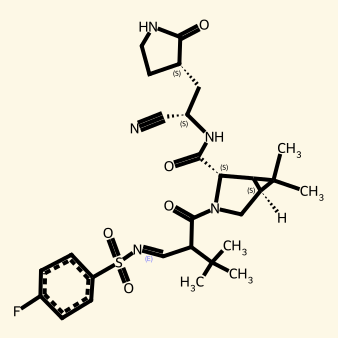 CC(C)(C)C(/C=N/S(=O)(=O)c1ccc(F)cc1)C(=O)N1C[C@H]2C([C@H]1C(=O)N[C@H](C#N)C[C@@H]1CCNC1=O)C2(C)C